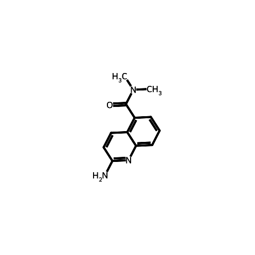 CN(C)C(=O)c1cccc2nc(N)ccc12